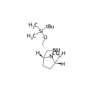 CC(C)(C)[Si](C)(C)OC[C@@H]1NC[C@@H]2CC[C@H]1N2C(=O)O